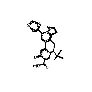 CC(C)(C)[C@@H]1Cc2c(cc(-c3cscn3)c3[nH]ccc23)-c2cc(=O)c(C(=O)O)cn21